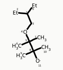 CCC(CC)COC(C)(C)C(C)(C)[O]